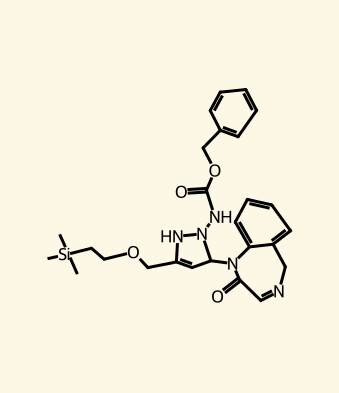 C[Si](C)(C)CCOCC1=CC(N2C(=O)C=NCc3ccccc32)N(NC(=O)OCc2ccccc2)N1